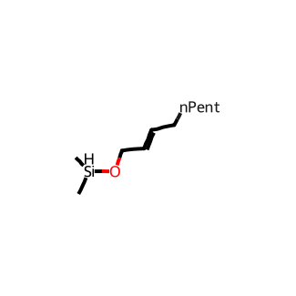 CCCCCCC=CCO[SiH](C)C